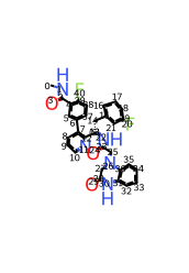 CNC(=O)c1cc(-c2cccnc2[C@H](Cc2cccc(F)c2)NC(=O)CN2CC(=O)Nc3ccccc32)ccc1F